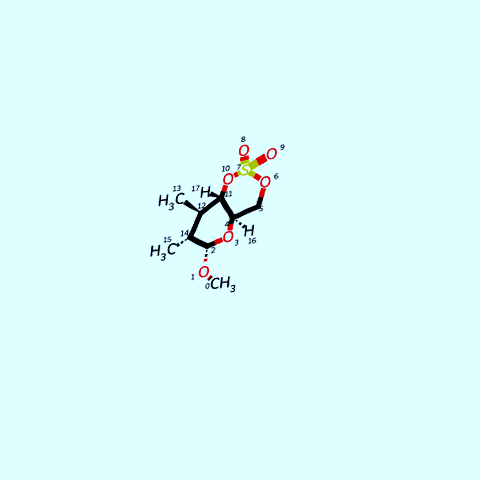 CO[C@H]1O[C@@H]2COS(=O)(=O)O[C@H]2[C@H](C)[C@H]1C